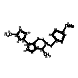 COc1ccc(CN2CCc3c(cnn3-c3nc(C)ns3)C2C)cc1